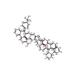 CC(C)c1ccc(-c2ccccc2N(c2ccc(C(C)(C)C)cc2)c2ccc3cc4c(cc3c2)oc2cc3cc(N(c5ccccc5-c5ccccc5)c5ccccc5-c5ccccc5)ccc3cc24)cc1